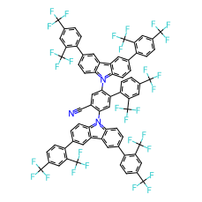 N#Cc1cc(-n2c3ccc(-c4ccc(C(F)(F)F)cc4C(F)(F)F)cc3c3cc(-c4ccc(C(F)(F)F)cc4C(F)(F)F)ccc32)c(-c2ccc(C(F)(F)F)cc2C(F)(F)F)cc1-n1c2ccc(-c3ccc(C(F)(F)F)cc3C(F)(F)F)cc2c2cc(-c3ccc(C(F)(F)F)cc3C(F)(F)F)ccc21